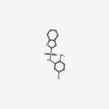 Nc1ccc(Cl)cc1NS(=O)(=O)c1cc2ccccc2o1